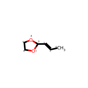 CC=CC1OCCO1